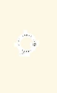 Br.Br.Br.Br.C1COCCNCCOCCNCCOCCNCCOCCN1